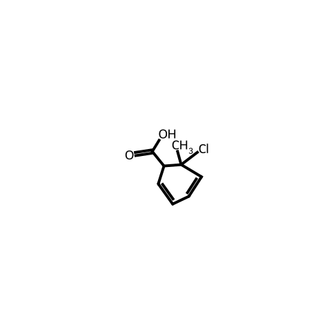 CC1(Cl)C=CC=CC1C(=O)O